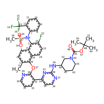 Cc1ccc2c(N(c3ccccc3C(F)(F)F)S(C)(=O)=O)c(F)ccc2c1Oc1ncccc1-c1ccnc(NC2CCCN(C(=O)OC(C)(C)C)C2)n1